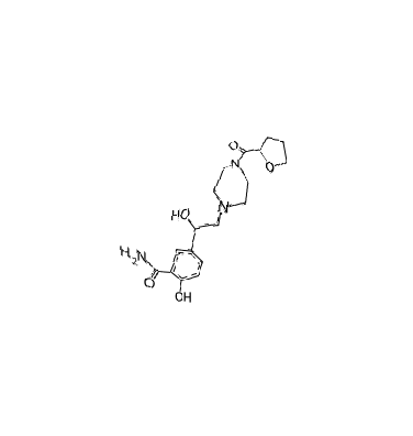 NC(=O)c1cc(C(O)CN2CCN(C(=O)C3CCCO3)CC2)ccc1O